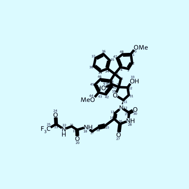 COc1ccc(C(CC2(CO)O[C@@H](n3cc(C#CCNC(=O)CNC(=O)C(F)(F)F)c(=O)[nH]c3=O)CC2O)(c2ccccc2)c2ccc(OC)cc2)cc1